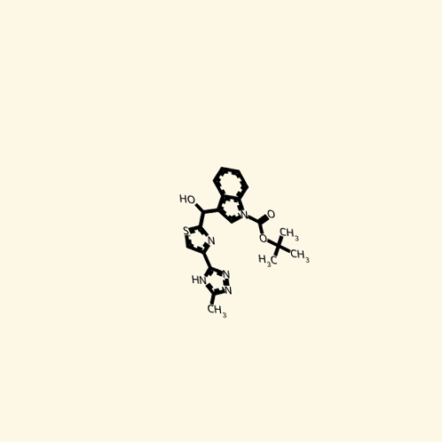 Cc1nnc(-c2csc(C(O)c3cn(C(=O)OC(C)(C)C)c4ccccc34)n2)[nH]1